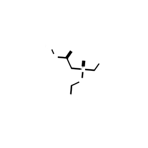 CCOP(=O)(CC)CC(=O)OC